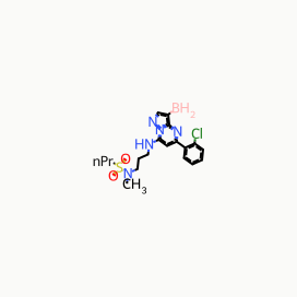 Bc1cnn2c(NCCCN(C)S(=O)(=O)CCC)cc(-c3ccccc3Cl)nc12